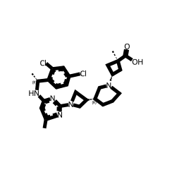 Cc1cc(N[C@H](C)c2ccc(Cl)cc2Cl)nc(N2CC([C@H]3CCCN([C@H]4C[C@](C)(C(=O)O)C4)C3)C2)n1